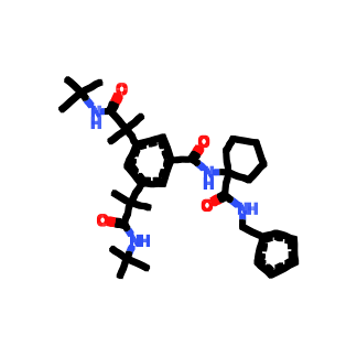 CC(C)(C)NC(=O)C(C)(C)c1cc(C(=O)NC2(C(=O)NCc3ccccc3)CCCCC2)cc(C(C)(C)C(=O)NC(C)(C)C)c1